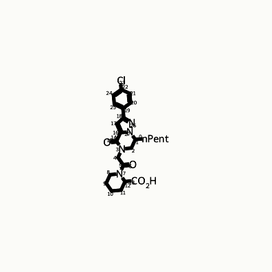 CCCCCC1CN(CC(=O)N2CCCCC2C(=O)O)C(=O)c2cc(-c3ccc(Cl)cc3)nn21